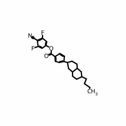 CCCCC1CCC2CC(c3ccc(C(=O)Oc4cc(F)c(C#N)c(F)c4)cc3)CCC2C1